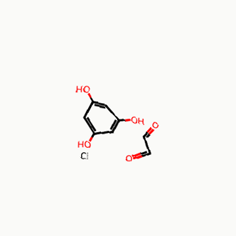 O=CC=O.Oc1cc(O)cc(O)c1.[C]